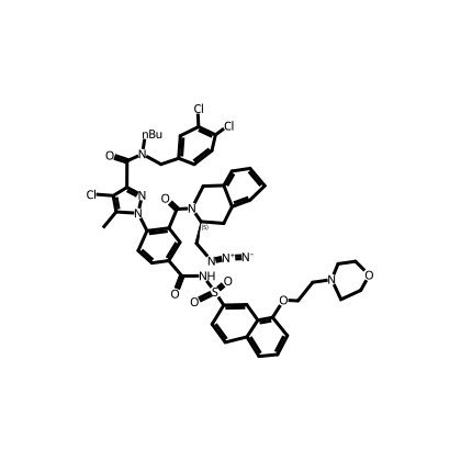 CCCCN(Cc1ccc(Cl)c(Cl)c1)C(=O)c1nn(-c2ccc(C(=O)NS(=O)(=O)c3ccc4cccc(OCCN5CCOCC5)c4c3)cc2C(=O)N2Cc3ccccc3C[C@H]2CN=[N+]=[N-])c(C)c1Cl